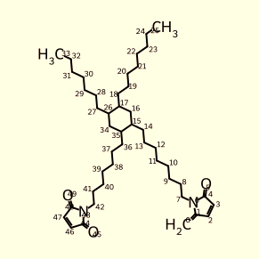 C=C1C=CC(=O)N1CCCCCCCCC1CC(CCCCCCCC)C(CCCCCCC)CC1CCCCCCCN1C(=O)C=CC1=O